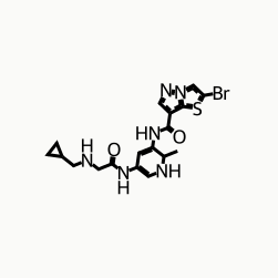 CC1NC=C(NC(=O)CNCC2CC2)C=C1NC(=O)c1cnn2cc(Br)sc12